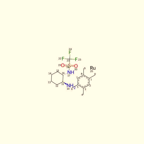 Cc1cc(C)c(C)cc1C.N[C@H]1CCCC[C@@H]1NS(=O)(=O)C(F)(F)F.[Ru]